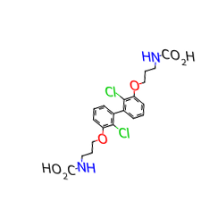 O=C(O)NCCCOc1cccc(-c2cccc(OCCCNC(=O)O)c2Cl)c1Cl